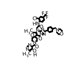 Cc1ncnc(C(=O)N2CCC3(CC2)OC(C)c2c3c(=O)n3nc(-c4ccc(CN5CCOCC5)cc4)nc3n2CC(=O)Nc2ccc(C(F)(F)F)cc2Cl)c1O